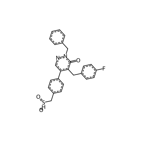 O=c1c(Cc2ccc(F)cc2)c(-c2ccc(C[SH](=O)=O)cc2)cnn1Cc1ccccc1